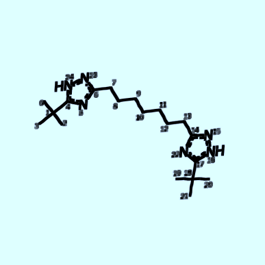 CC(C)(C)c1nc(CCCCCCCc2n[nH]c(C(C)(C)C)n2)n[nH]1